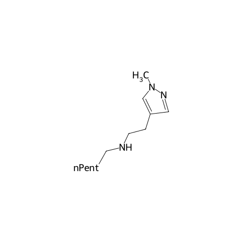 CCCCCCNCCc1cnn(C)c1